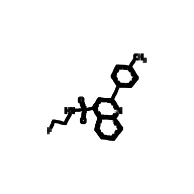 Cc1ccc(-c2cc(S(=O)(=O)NCCF)c3ccccc3n2)cc1